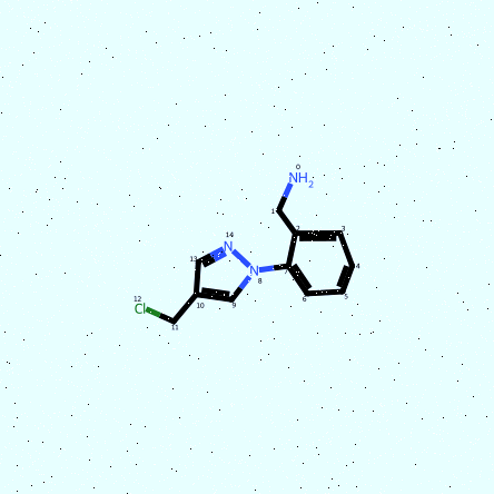 NCc1ccccc1-n1cc(CCl)cn1